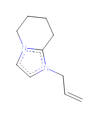 C=CCn1cc[n+]2c1CCCC2